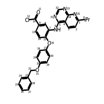 CC(C)c1ccc2c(Nc3cc(C(=O)Cl)ccc3Oc3ccc(OCc4ccccc4)cc3)ncnc2n1